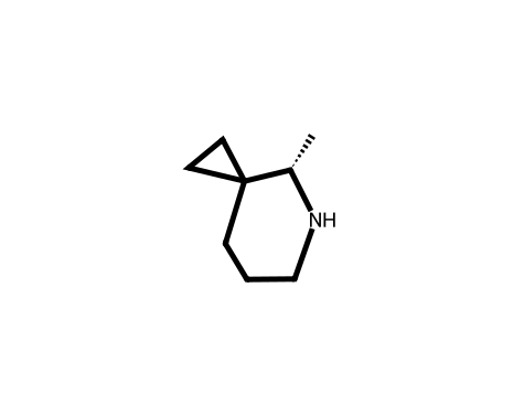 C[C@@H]1NCCCC12CC2